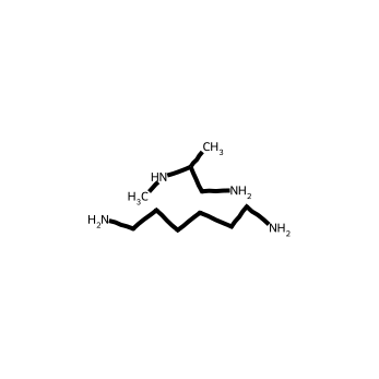 CNC(C)CN.NCCCCCCN